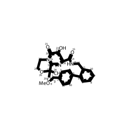 COCc1ccc(-c2ccccc2CNC(=O)c2nc3n(c(=O)c2O)CCOC3(C)C)cc1